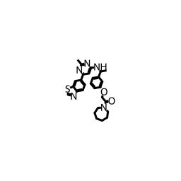 Cc1nc(NC(C)c2cccc(OCC(=O)N3CCCCCC3)c2)cc(-c2ccc3ncsc3c2)n1